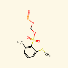 CSc1cccc(C)c1S(=O)(=O)OCOP=O